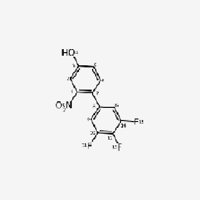 O=[N+]([O-])c1cc(O)ccc1-c1cc(F)c(F)c(F)c1